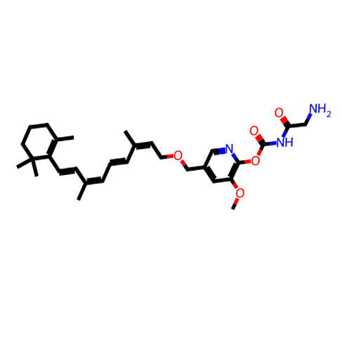 COc1cc(COCC=C(C)C=CC=C(C)C=CC2=C(C)CCCC2(C)C)cnc1OC(=O)NC(=O)CN